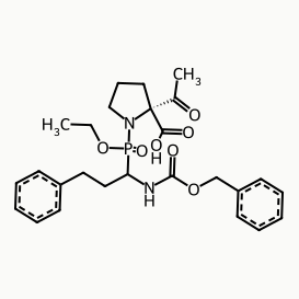 CCOP(=O)(C(CCc1ccccc1)NC(=O)OCc1ccccc1)N1CCC[C@@]1(C(C)=O)C(=O)O